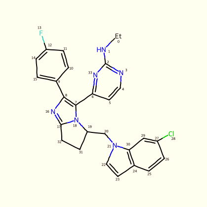 CCNc1nccc(-c2c(-c3ccc(F)cc3)nc3n2C(Cn2ccc4ccc(Cl)cc42)CC3)n1